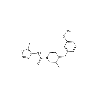 CCCCOc1cccc(/C=C2\CCN(C(=O)Nc3cnoc3C)CC2C)c1